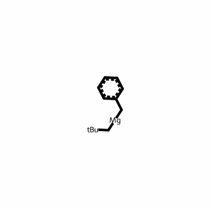 CC(C)(C)[CH2][Mg][CH2]c1ccccc1